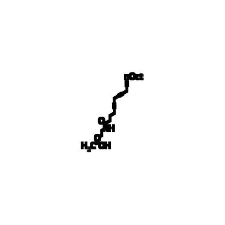 CCCCCCCCC#CCC#CCC#CCCCC(=O)NCCOC(C)O